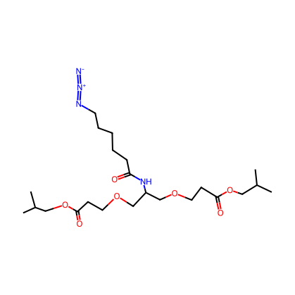 CC(C)COC(=O)CCOCC(COCCC(=O)OCC(C)C)NC(=O)CCCCCN=[N+]=[N-]